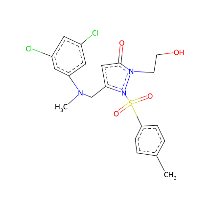 Cc1ccc(S(=O)(=O)n2c(CN(C)c3cc(Cl)cc(Cl)c3)cc(=O)n2CCO)cc1